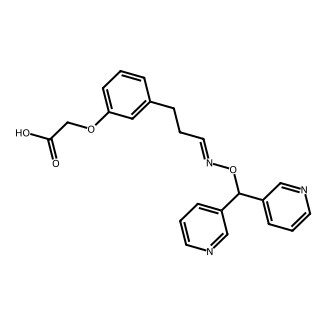 O=C(O)COc1cccc(CCC=NOC(c2cccnc2)c2cccnc2)c1